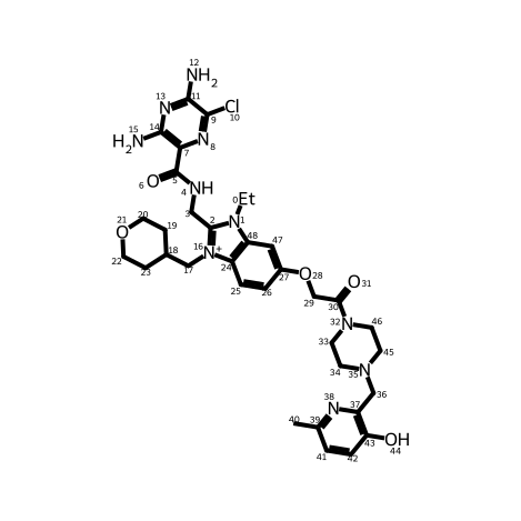 CCn1c(CNC(=O)c2nc(Cl)c(N)nc2N)[n+](CC2CCOCC2)c2ccc(OCC(=O)N3CCN(Cc4nc(C)ccc4O)CC3)cc21